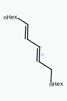 CCCCCCC=C/[C]=C/CCCCCCC